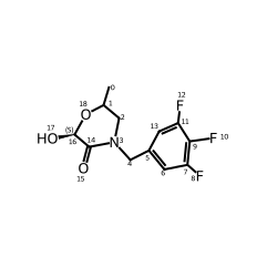 CC1CN(Cc2cc(F)c(F)c(F)c2)C(=O)[C@@H](O)O1